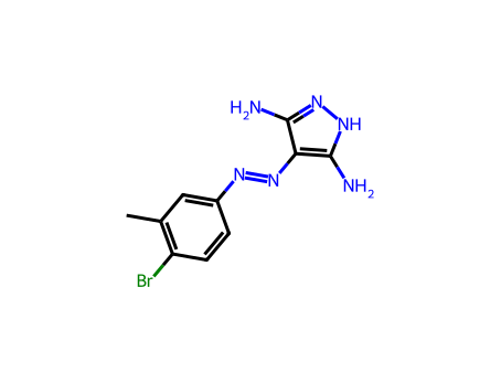 Cc1cc(N=Nc2c(N)n[nH]c2N)ccc1Br